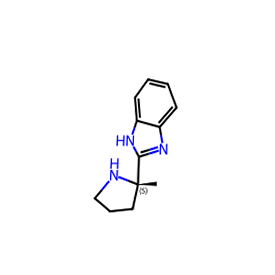 C[C@@]1(c2nc3ccccc3[nH]2)CCCN1